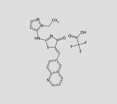 CCn1nccc1NC1=NC(=O)/C(=C/c2ccc3ncccc3c2)S1.O=C(O)C(F)(F)F